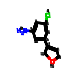 Nc1cc(Cl)cc(C2=CCOC2)c1